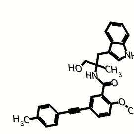 Cc1ccc(C#Cc2ccc(OC(F)(F)F)c(C(=O)NC(C)(CO)Cc3c[nH]c4ccccc34)c2)cc1